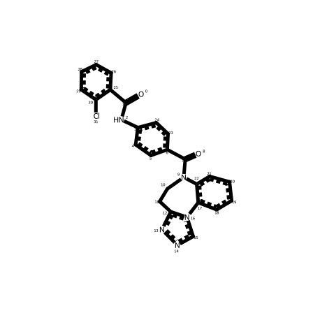 O=C(Nc1ccc(C(=O)N2CCc3nncn3-c3ccccc32)cc1)c1ccccc1Cl